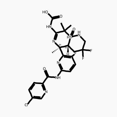 CC1(C)C(NC(=O)O)=N[C@](C)(c2nc(NC(=O)c3ccc(Cl)cn3)ccc2F)[C@H]2CC(F)(F)CN[SH]21=O